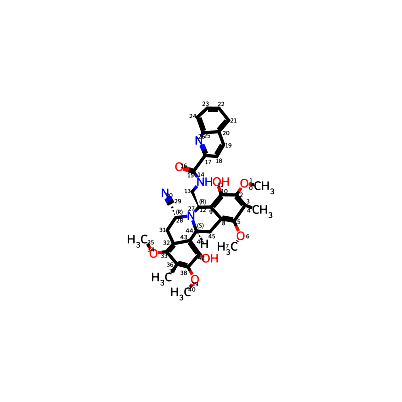 COc1c(C)c(OC)c2c(c1O)[C@H](CNC(=O)c1ccc3ccccc3n1)N1[C@@H](C#N)Cc3c(OC)c(C)c(OC)c(O)c3[C@@H]1C2